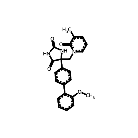 COc1ccccc1-c1ccc(C2(Cn3cccc(C)c3=O)NC(=O)NC2=O)cc1